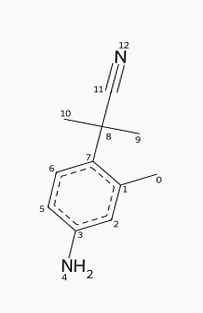 Cc1cc(N)ccc1C(C)(C)C#N